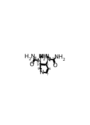 NC(=O)N(N)c1ccncc1N(N)C(N)=O